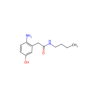 CCCCNC(=O)Cc1cc(O)ccc1N